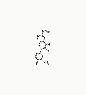 CNc1cc2[nH]c(=O)c(-c3ccc(F)c(N)c3)cc2cn1